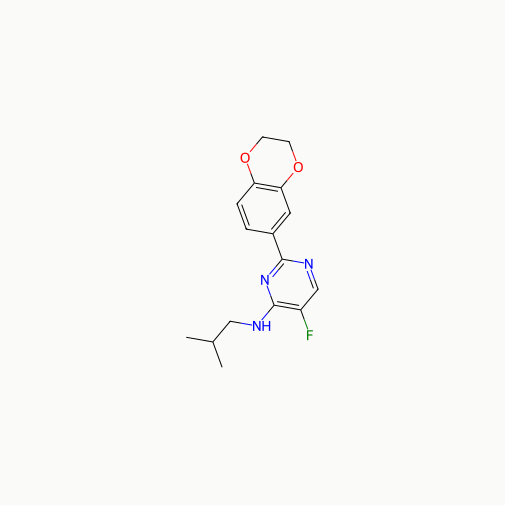 CC(C)CNc1nc(-c2ccc3c(c2)OCCO3)ncc1F